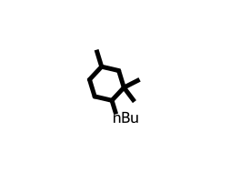 C[CH]CCC1CCC(C)CC1(C)C